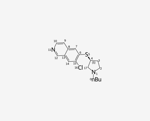 CCCCN1CC[C@H](Sc2cc3ccncc3cc2Cl)C1